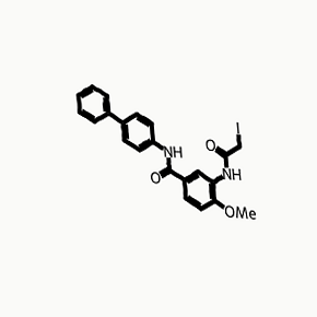 COc1ccc(C(=O)Nc2ccc(-c3ccccc3)cc2)cc1NC(=O)CI